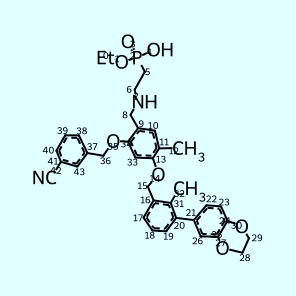 CCOP(=O)(O)CCNCc1cc(C)c(OCc2cccc(-c3ccc4c(c3)OCCO4)c2C)cc1OCc1cccc(C#N)c1